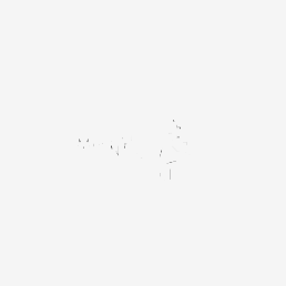 CON(C)C(=O)COCc1cc(S(=O)(=O)N2CCCCC2)c(Cl)cc1Cl